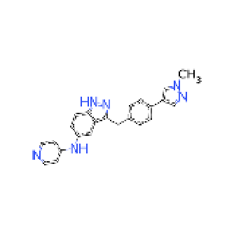 Cn1cc(-c2ccc(Cc3n[nH]c4ccc(Nc5ccncc5)cc34)cc2)cn1